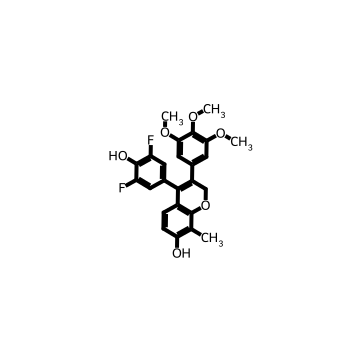 COc1cc(C2=C(c3cc(F)c(O)c(F)c3)c3ccc(O)c(C)c3OC2)cc(OC)c1OC